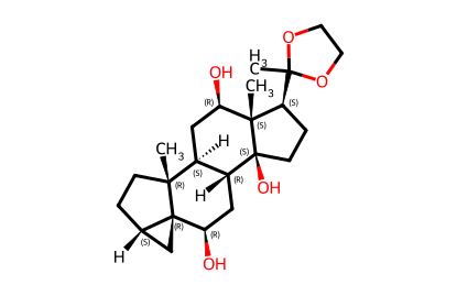 CC1([C@H]2CC[C@]3(O)[C@@H]4C[C@@H](O)[C@]56C[C@@H]5CC[C@]6(C)[C@H]4C[C@@H](O)[C@]23C)OCCO1